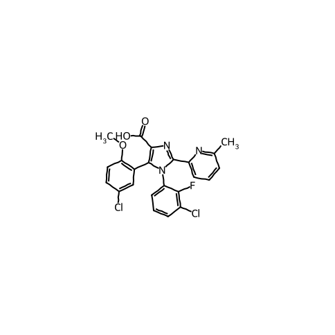 COc1ccc(Cl)cc1-c1c(C(=O)O)nc(-c2cccc(C)n2)n1-c1cccc(Cl)c1F